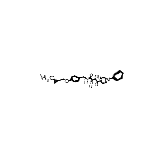 CC1CC1COc1ccc(CNC(=O)[C@H](O)[C@@H](O)C(=O)N2CCN(c3ccccc3)CC2)cc1